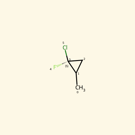 CC1C[C@]1(F)Cl